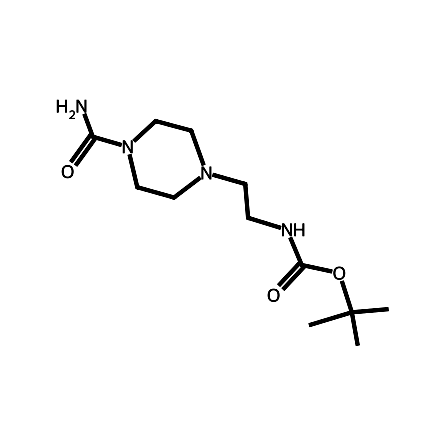 CC(C)(C)OC(=O)NCCN1CCN(C(N)=O)CC1